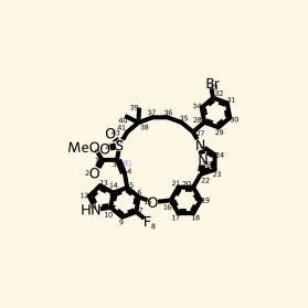 COC(=O)/C1=C\c2c(c(F)cc3[nH]ccc23)Oc2cccc(c2)-c2ccn(n2)C(c2cccc(Br)c2)CCCC(C)(C)CS1(=O)=O